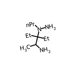 CCCN(N)C(CC)(CC)C(C)N